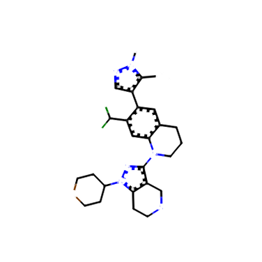 Cc1c(-c2cc3c(cc2C(F)F)N(c2nn(C4CCSCC4)c4c2CNCC4)CCC3)cnn1C